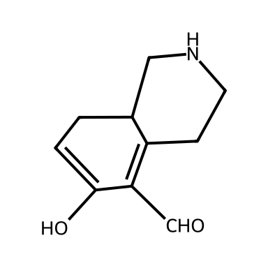 O=CC1=C2CCNCC2CC=C1O